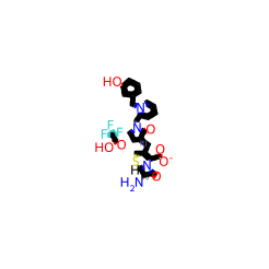 N[C@@H]1C(=O)N2C(C(=O)[O-])=C(/C=C3\CCN(Cc4cccc[n+]4Cc4cccc(O)c4)C3=O)CS[C@H]12.O=C(O)C(F)(F)F